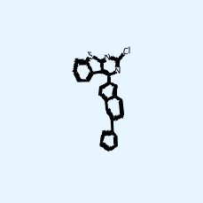 Clc1nc(-c2ccc3cc(-c4ccccc4)ccc3c2)c2c(n1)sc1ccccc12